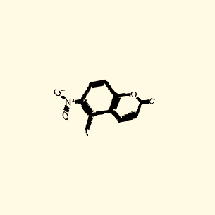 O=c1ccc2c(I)c([N+](=O)[O-])ccc2o1